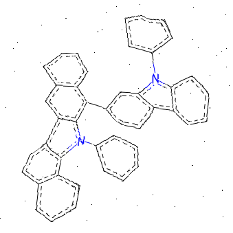 c1ccc(-n2c3ccccc3c3ccc(-c4c5ccccc5cc5c6ccc7ccccc7c6n(-c6ccccc6)c45)cc32)cc1